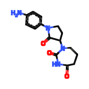 Nc1ccc(N2CCC(N3CCCC(=O)NC3=O)C2=O)cc1